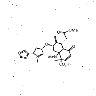 C=C1[C@H](O[C@H]2C=C(C)[C@H](c3ccoc3)C2)C[C@@]2(NC)[C@](C)(C(=O)O)C=CC(=O)[C@]2(C)[C@H]1CC(=O)OC